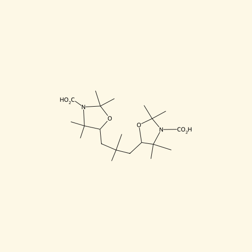 CC(C)(CC1OC(C)(C)N(C(=O)O)C1(C)C)CC1OC(C)(C)N(C(=O)O)C1(C)C